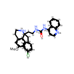 COc1cc2c(cc1OC)C(CCNC(=O)Nc1ccnc3ccccc13)(Cc1ccc(Cl)cc1)NCC2